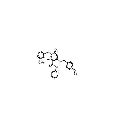 COc1cccc(Cn2c(C)c(C(=O)Nc3ccccn3)c(NCc3ccc(OC(C)C)cc3)cc2=O)n1